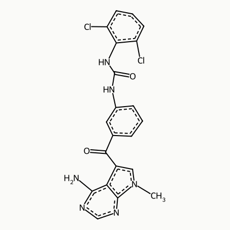 Cn1cc(C(=O)c2cccc(NC(=O)Nc3c(Cl)cccc3Cl)c2)c2c(N)ncnc21